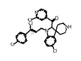 O=C(c1ccnc(Cl)c1)C1N(C/C=C(\Cl)c2ccc(Cl)cc2)c2ccc(Cl)cc2C12CCNCC2